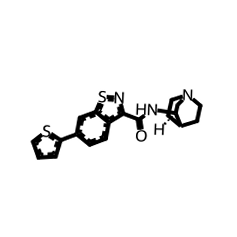 O=C(N[C@H]1CN2CCC1CC2)c1nsc2cc(-c3cccs3)ccc12